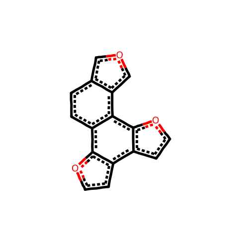 c1cc2c3ccoc3c3c4cocc4ccc3c2o1